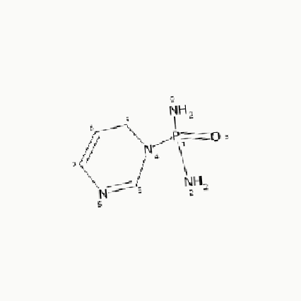 NP(N)(=O)N1C=NC=CC1